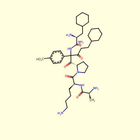 C[C@H](N)C(=O)N[C@@H](CCCCN)C(=O)N1CCC[C@H]1C(=O)C(NC(=O)[C@@H](N)CC1CCCCC1)(C(=O)[C@H](N)CC1CCCCC1)c1ccc(C(=O)O)cc1